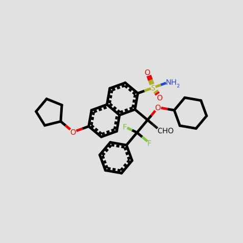 NS(=O)(=O)c1ccc2cc(OC3CCCC3)ccc2c1C(C=O)(OC1CCCCC1)C(F)(F)c1ccccc1